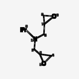 CC(C)N(CC1CO1)CC1CO1